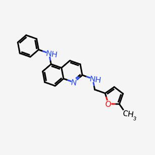 Cc1ccc(CNc2ccc3c(Nc4ccccc4)cccc3n2)o1